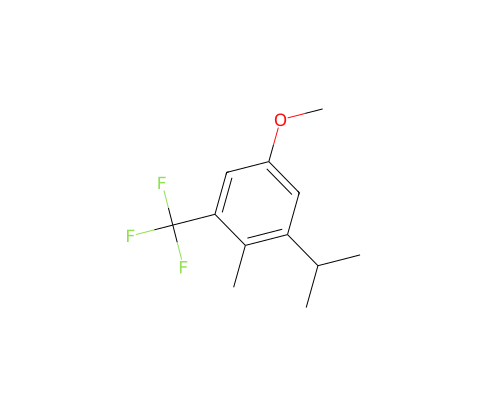 COc1cc(C(C)C)c(C)c(C(F)(F)F)c1